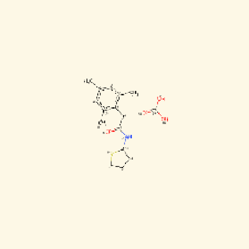 Cc1cc(C)c(CC(=O)NC2CCCS2)c(C)c1.O=C(O)O